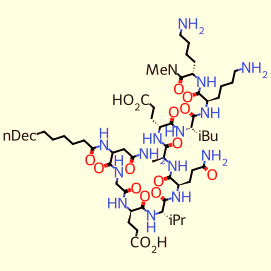 CCCCCCCCCCCCCCCC(=O)NC(CC(N)=O)C(=O)NCC(=O)N[C@H](CCC(=O)O)C(=O)N[C@H](C(=O)N[C@H](CCC(N)=O)C(=O)N[C@@H](C)C(=O)N[C@H](CCC(=O)O)C(=O)N[C@H](C(=O)N[C@H](CCCCN)C(=O)N[C@@H](CCCCN)C(=O)NC)[C@@H](C)CC)C(C)C